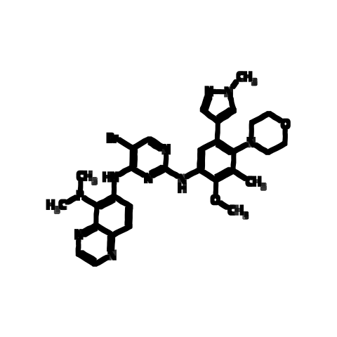 COc1c(Nc2ncc(Br)c(Nc3ccc4nccnc4c3P(C)C)n2)cc(-c2cnn(C)c2)c(N2CCOCC2)c1C